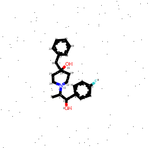 CC(C(O)c1ccc(F)cc1)N1CCC(O)(Cc2ccccc2)CC1